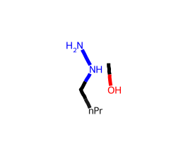 CCCCNN.CO